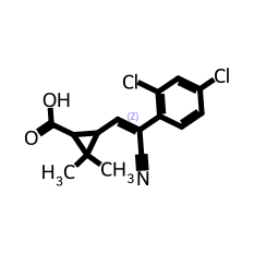 CC1(C)C(/C=C(\C#N)c2ccc(Cl)cc2Cl)C1C(=O)O